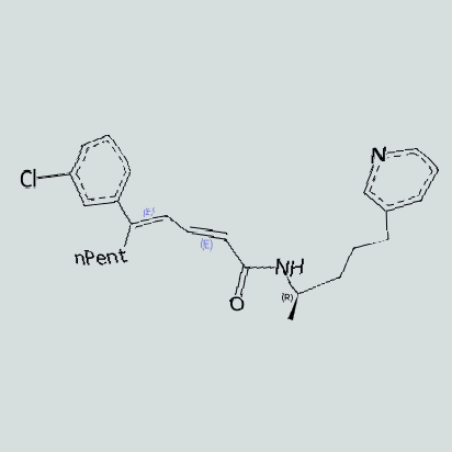 CCCCC/C(=C\C=C\C(=O)N[C@H](C)CCCc1cccnc1)c1cccc(Cl)c1